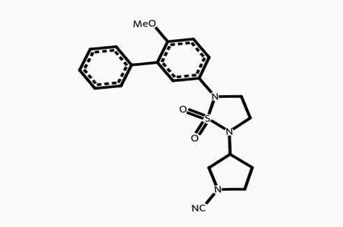 COc1ccc(N2CCN(C3CCN(C#N)C3)S2(=O)=O)cc1-c1ccccc1